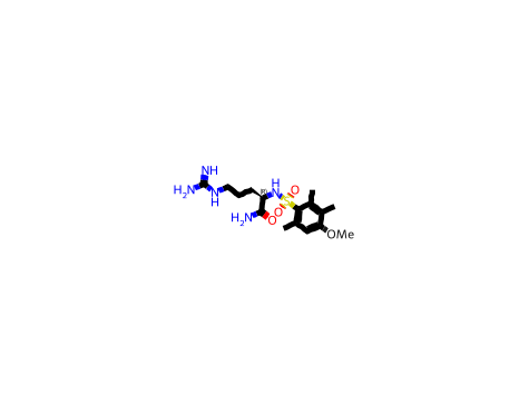 COc1cc(C)c(S(=O)(=O)N[C@H](CCCNC(=N)N)C(N)=O)c(C)c1C